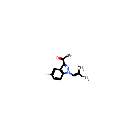 CC(C)=Cn1nc(C(=O)C(C)C)c2cc(F)ccc21